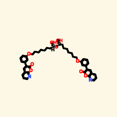 O=c1oc2ncccc2cc1-c1cccc(OCCCCCCC[SiH](O)O[SiH](O)CCCCCCCOc2cccc(-c3cc4cccnc4oc3=O)c2)c1